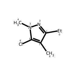 CCc1nn(C)c(Cl)c1C